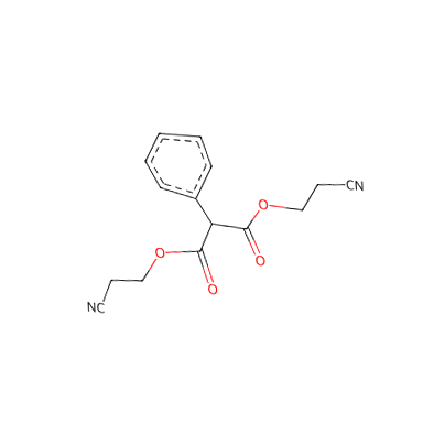 N#CCCOC(=O)C(C(=O)OCCC#N)c1ccccc1